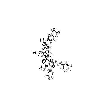 CC(C)(CNC(=O)CC(N)Cc1cc(F)ccc1F)CNC(=O)C(OC(=O)CCCc1ccccc1)[C@@H](N)Cc1ccccc1